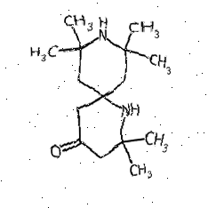 CC1(C)CC2(CC(=O)CC(C)(C)N2)CC(C)(C)N1